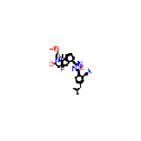 CC(C)Cc1ccc(-c2nc(-c3cccc4c3C[C@H]3CC(=O)N(CCO)[C@@H]43)no2)c(C#N)c1